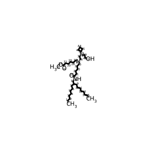 CCCCCCCCC(CCCCCCCC)CNC(=O)CCCCCN(CCCCCC(=O)OC)CCN(CCO)C1CCC1